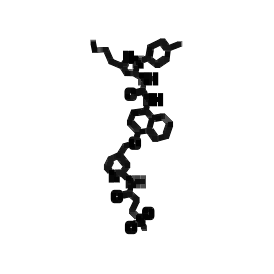 CCCCc1cc(NC(=O)Nc2ccc(OCc3ccnc(NC(=O)CCS(C)(=O)=O)c3)c3ccccc23)n(-c2ccc(C)cc2)n1